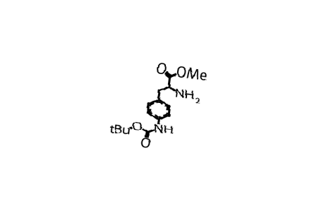 COC(=O)C(N)Cc1ccc(NC(=O)OC(C)(C)C)cc1